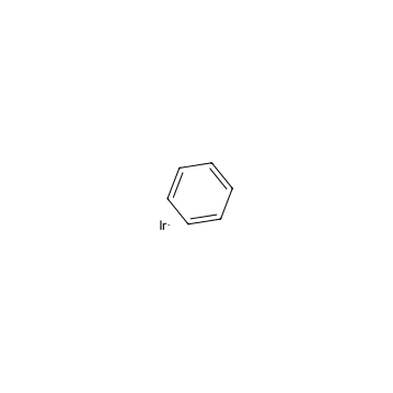 [Ir].c1ccccc1